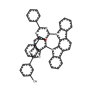 N#Cc1cccc(-c2nc3cccc(-n4c5ccccc5c5ccc6c7ccccc7n(-c7nc(-c8ccccc8)nc(-c8ccccc8)n7)c6c54)c3o2)c1